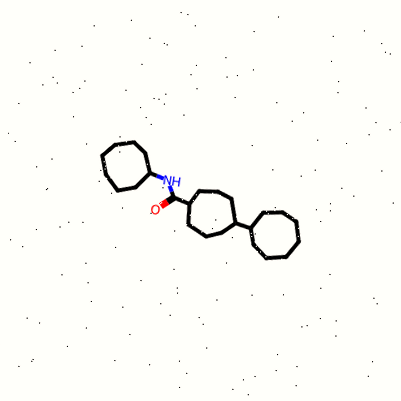 O=C(NC1CCCCCCC1)C1CCCC(C2CCCCCCC2)CCC1